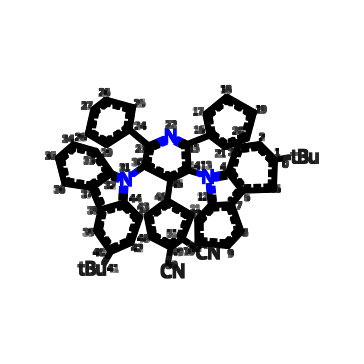 CC(C)(C)c1ccc2c(c1)c1ccccc1n2-c1c(-c2ccccc2)nc(-c2ccccc2)c(-n2c3ccccc3c3cc(C(C)(C)C)ccc32)c1-c1ccc(C#N)c(C#N)c1